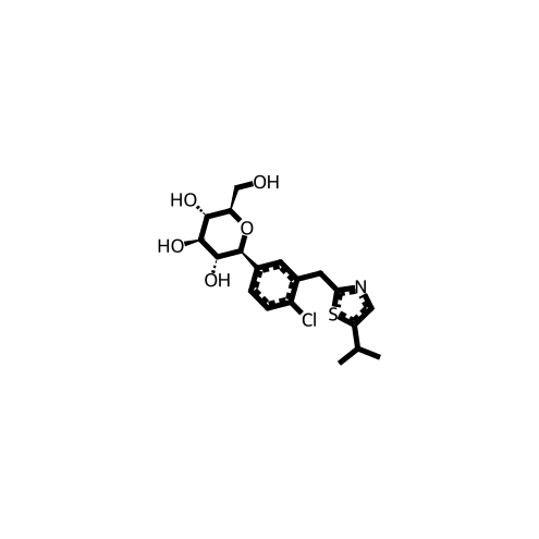 CC(C)c1cnc(Cc2cc([C@@H]3O[C@H](CO)[C@@H](O)[C@H](O)[C@H]3O)ccc2Cl)s1